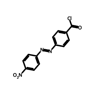 O=C(Cl)c1ccc(N=Nc2ccc([N+](=O)[O-])cc2)cc1